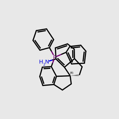 Nc1cccc2c1[C@@]1(CC2)CCc2cccc(P(c3ccccc3)c3ccccc3)c21